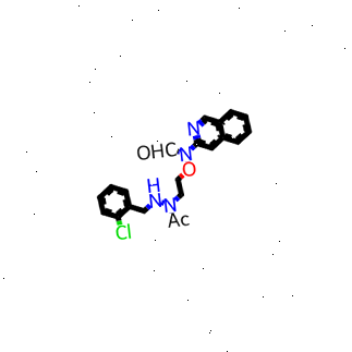 CC(=O)N(CCON(C=O)c1cc2ccccc2cn1)NCc1ccccc1Cl